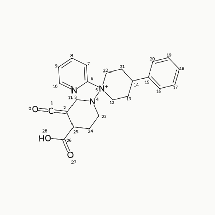 O=C=C1CN([N+]2(c3ccccn3)CCC(c3ccccc3)CC2)CCC1C(=O)O